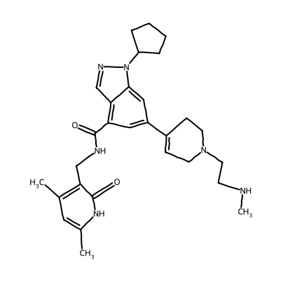 CNCCN1CC=C(c2cc(C(=O)NCc3c(C)cc(C)[nH]c3=O)c3cnn(C4CCCC4)c3c2)CC1